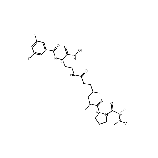 CC(=O)N(C)[C@@H](C)C(=O)N1CCC[C@H]1C(=O)N(C)CC(C)CCC(=O)NCC[C@H](NC(=O)c1cc(F)cc(F)c1)C(=O)NO